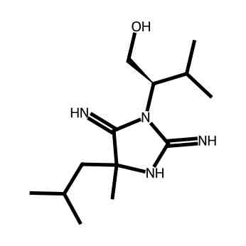 CC(C)CC1(C)NC(=N)N([C@@H](CO)C(C)C)C1=N